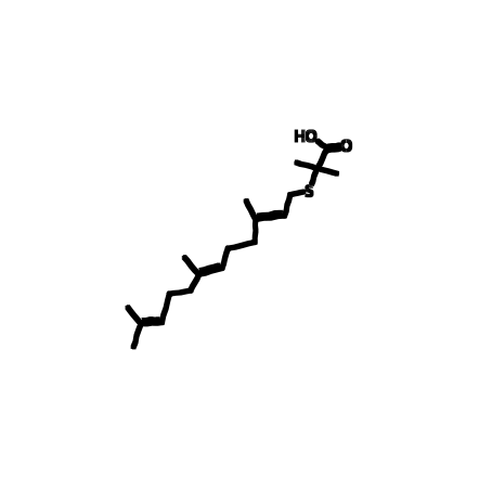 CC(C)=CCC/C(C)=C/CC/C(C)=C/CSC(C)(C)C(=O)O